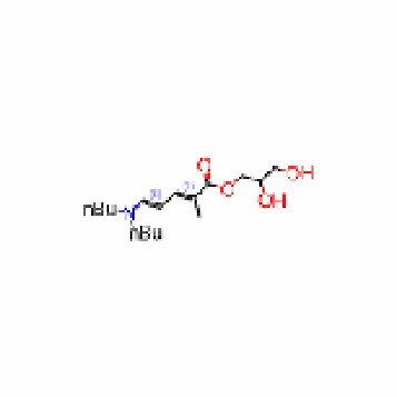 CCCCN(/C=C/C=C(\C)C(=O)OCC(O)CO)CCCC